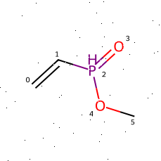 C=C[PH](=O)OC